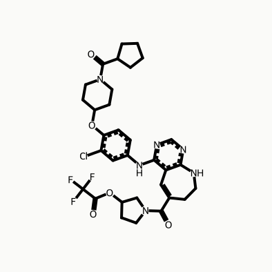 O=C(C1=Cc2c(ncnc2Nc2ccc(OC3CCN(C(=O)C4CCCC4)CC3)c(Cl)c2)NCC1)N1CCC(OC(=O)C(F)(F)F)C1